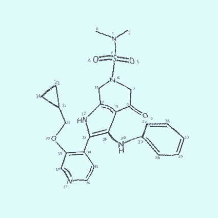 CN(C)S(=O)(=O)N1CC(=O)c2c([nH]c(-c3ccncc3OCC3CC3)c2Nc2ccccc2)C1